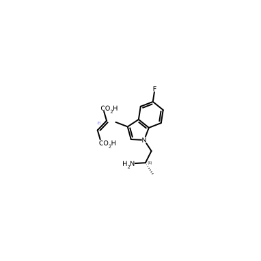 Cc1cn(C[C@H](C)N)c2ccc(F)cc12.O=C(O)/C=C/C(=O)O